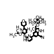 CC(C)Oc1nc(C2CCOCC2)ccc1Nc1nccc(-c2cc(C#N)c3c(c2)[C@@](C)(CO[Si](C)(C)C(C)(C)C)CN3)n1